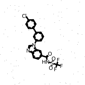 O=C(NS(=O)(=O)C(F)(F)F)c1ccc2ncn(-c3cccc(-c4ccc(Cl)cc4)c3)c2c1